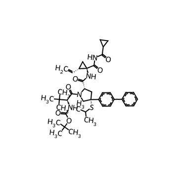 C=C[C@@H]1C[C@]1(NC(=O)[C@@H]1C[C@@](SC(C)C)(c2ccc(-c3ccccc3)cc2)CN1C(=O)[C@@H](NC(=O)OC(C)(C)C)C(C)(C)C)C(=O)NC(=O)C1CC1